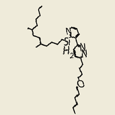 CCCCCCOCCCCc1ccc(-c2cccnc2[SiH2]CCCCC(C)CCC(C)CCCCC)nn1